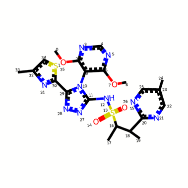 COc1ncnc(OC)c1-n1c(NS(=O)(=O)C(C)C(C)c2ncc(C)cn2)nnc1-c1nc(C)cs1